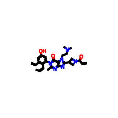 C=CC(=O)N1CC(c2nc3nc(C)n(-c4cc(O)cc(C=C)c4/C=C\C)c(=O)c3n2CCN(C)C)C1